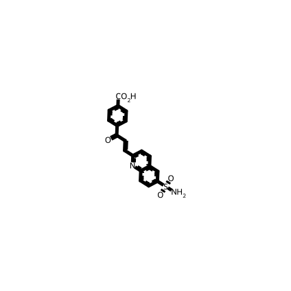 NS(=O)(=O)c1ccc2nc(C=CC(=O)c3ccc(C(=O)O)cc3)ccc2c1